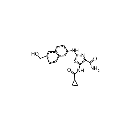 NC(=O)c1nc(Nc2ccc3cc(CO)ccc3c2)sc1NC(=O)C1CC1